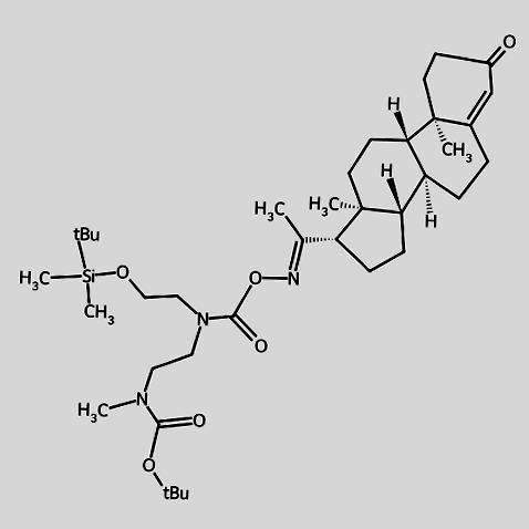 C/C(=N\OC(=O)N(CCO[Si](C)(C)C(C)(C)C)CCN(C)C(=O)OC(C)(C)C)[C@H]1CC[C@H]2[C@@H]3CCC4=CC(=O)CC[C@]4(C)[C@H]3CC[C@]12C